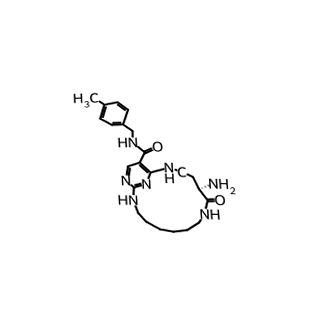 Cc1ccc(CNC(=O)c2cnc3nc2NCC[C@H](N)C(=O)NCCCCCCN3)cc1